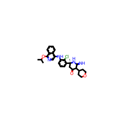 CC(C)Oc1ncc(Nc2cccc([C@]3(C)CC(=O)C(C4CCOCC4)C(=N)N3)c2Cl)c2ccccc12